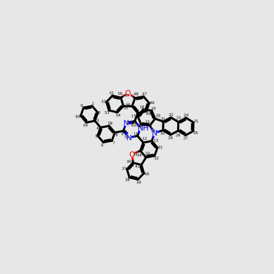 c1ccc(-c2cccc(C3=NC(c4c(-n5c6ccccc6c6cc7ccccc7cc65)ccc5c4oc4ccccc45)NC(c4cccc5oc6ccccc6c45)=N3)c2)cc1